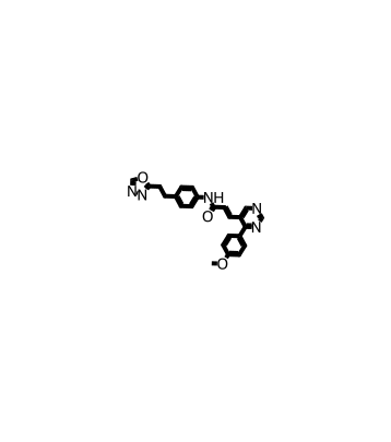 COc1ccc(-c2ncncc2C=CC(=O)Nc2ccc(CCc3nnco3)cc2)cc1